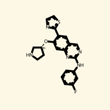 Fc1cccc(Nc2ncc3cc(-c4nccs4)c(O[C@@H]4CCNC4)cc3n2)c1